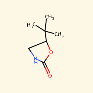 CC(C)(C)C1CNC(=O)O1